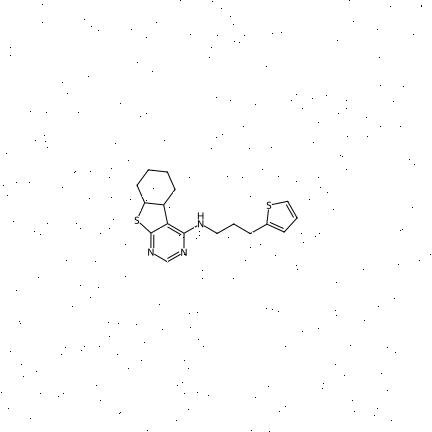 c1csc(CCCNc2ncnc3c2C2CCCCC2S3)c1